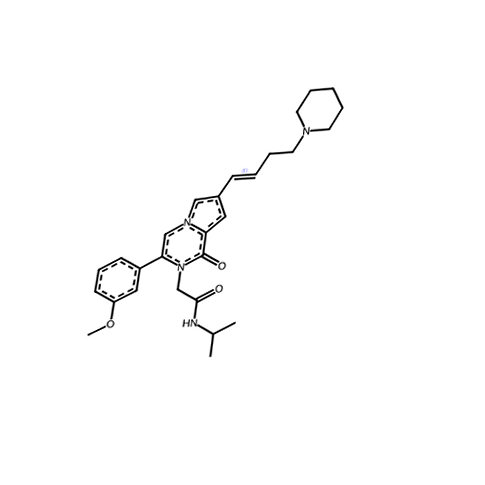 COc1cccc(-c2cn3cc(/C=C/CCN4CCCCC4)cc3c(=O)n2CC(=O)NC(C)C)c1